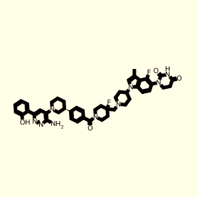 Cc1cn(C2CCN(CC3(F)CCN(C(=O)c4ccc([C@H]5CCCN(c6cc(-c7ccccc7O)nnc6N)C5)cc4)CC3)CC2)c2ccc(N3CCC(=O)NC3=O)c(F)c12